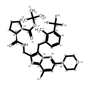 Cc1c(Cc2c(CNC(=O)[C@H]3CCCN3C(=O)OC(C)(C)C)nc3c(I)cc(N4CCOCC4)nn23)cccc1C(F)(F)F